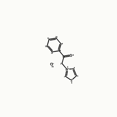 O=C(C[n+]1ccsc1)c1ccccc1.[Cl-]